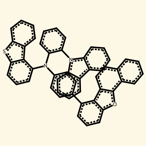 c1ccc(-n2c3ccccc3c3ccccc32)c(N(c2ccc(-c3cccc4oc5c6ccccc6ccc5c34)cc2)c2cccc3sc4ccccc4c23)c1